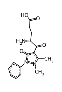 Cc1c(C(=O)[C@@H](N)CCC(=O)O)c(=O)n(-c2ccccc2)n1C